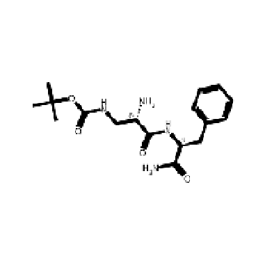 CC(C)(C)OC(=O)NC[C@H](N)C(=O)N[C@@H](Cc1ccccc1)C(N)=O